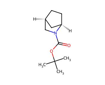 CC(C)(C)OC(=O)N1C[C@H]2CC[C@@H]1C2